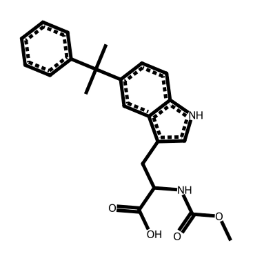 COC(=O)NC(Cc1c[nH]c2ccc(C(C)(C)c3ccccc3)cc12)C(=O)O